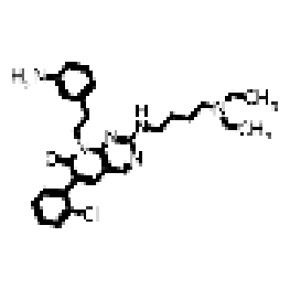 CCN(CC)CCCCNc1ncc2cc(-c3ccccc3Cl)c(=O)n(CCc3cccc(N)c3)c2n1